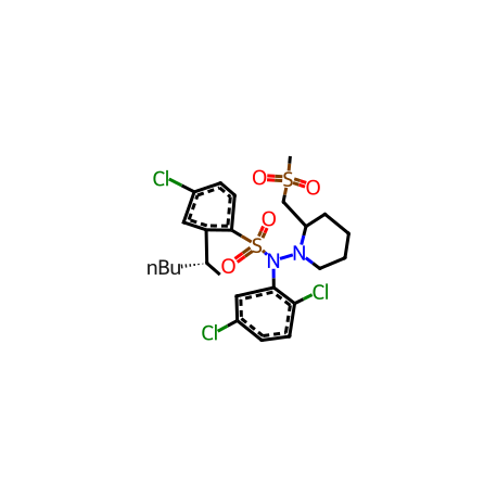 CCCC[C@@H](C)c1cc(Cl)ccc1S(=O)(=O)N(c1cc(Cl)ccc1Cl)N1CCCCC1CS(C)(=O)=O